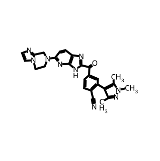 Cc1nn(C)c(C)c1-c1cc(C(=O)c2nc3ccc(N4CCn5ccnc5C4)nc3[nH]2)ccc1C#N